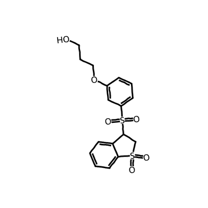 O=S1(=O)CC(S(=O)(=O)c2cccc(OCCCO)c2)c2ccccc21